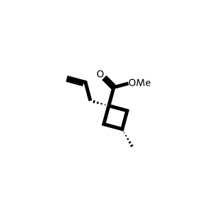 C=CC[C@]1(C(=O)OC)C[C@H](C)C1